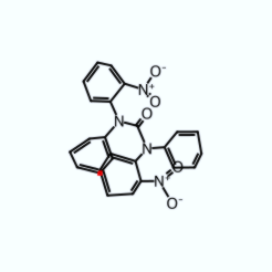 O=C(N(c1ccccc1)c1ccccc1[N+](=O)[O-])N(c1ccccc1)c1ccccc1[N+](=O)[O-]